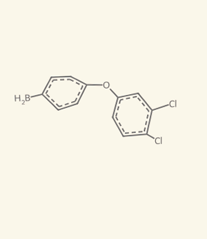 Bc1ccc(Oc2ccc(Cl)c(Cl)c2)cc1